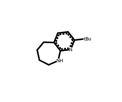 CC(C)(C)c1ccc2c(n1)NCCCC2